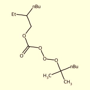 CCCCC(CC)COC(=O)OOOC(C)(C)CCCC